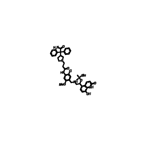 COc1cc(NC(=O)CCN2CCC(C(C(N)=O)(c3ccccc3)c3ccccc3)C2)c(Cl)cc1CNCC(O[Si](C)(C)C(C)(C)C)c1ccc(O)c2[nH]c(=O)ccc12